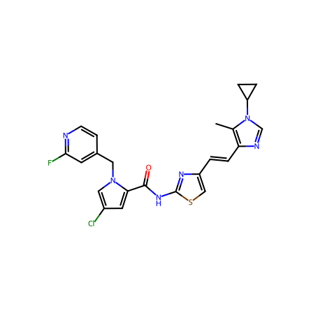 Cc1c(/C=C/c2csc(NC(=O)c3cc(Cl)cn3Cc3ccnc(F)c3)n2)ncn1C1CC1